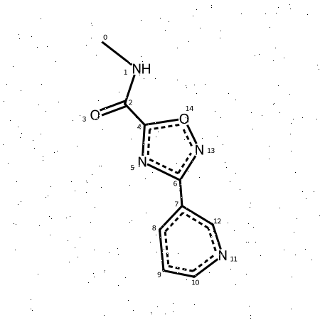 CNC(=O)c1nc(-c2cccnc2)no1